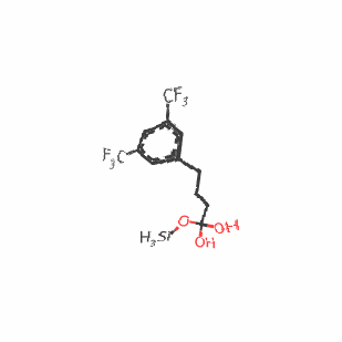 OC(O)(CCCc1cc(C(F)(F)F)cc(C(F)(F)F)c1)O[SiH3]